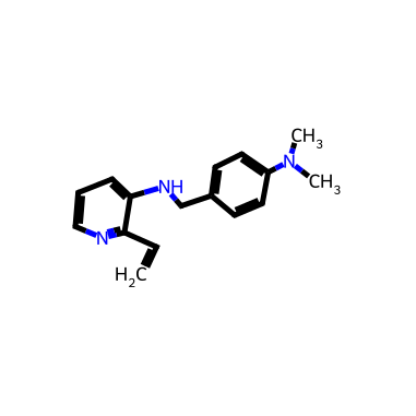 C=Cc1ncccc1NCc1ccc(N(C)C)cc1